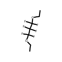 CCOC(F)(F)C(F)(F)C(F)(F)OCC